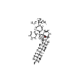 CC(C)(C)c1ccc(S(OS(=O)(=O)C(F)(F)C(F)(F)C(F)(F)C(F)(F)C(F)(F)C(F)(F)C(F)(F)C(F)(F)F)(c2ccccc2)c2ccccc2)cc1